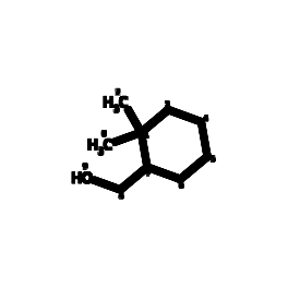 CC1(C)CCCC[C]1CO